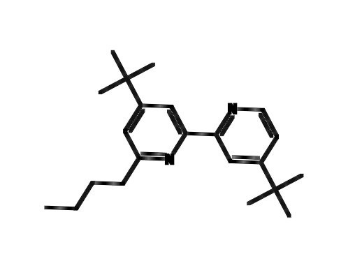 CCCCc1cc(C(C)(C)C)cc(-c2cc(C(C)(C)C)ccn2)n1